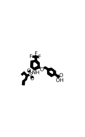 C=CCC(CC)S(=O)(=O)Nc1ccc(C(F)(F)F)cc1OCc1ccc(C(=O)O)cc1